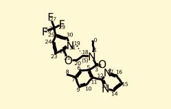 CCN(C(=O)c1cc(C)ccc1-c1ncccn1)[C@@H](C)COc1ccc(C(F)(F)F)cn1